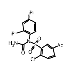 CC(=O)c1ccc(Cl)c(S(=O)(=O)N(C(N)=O)c2ccc(C(C)C)cc2C(C)C)c1